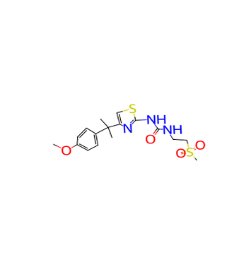 COc1ccc(C(C)(C)c2csc(NC(=O)NCCS(C)(=O)=O)n2)cc1